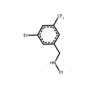 CCNCc1cc(CC)cc(C(F)(F)F)c1